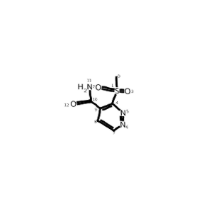 CS(=O)(=O)c1nnccc1C(N)=O